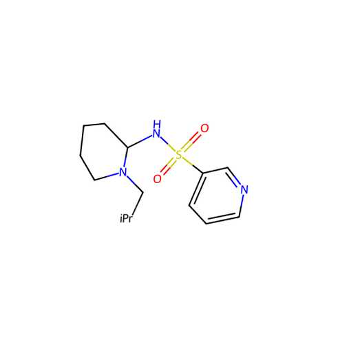 CC(C)CN1CCCCC1NS(=O)(=O)c1cccnc1